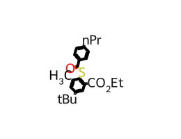 CCCc1ccc(C(=O)Sc2c(C)cc(C(C)(C)C)cc2C(=O)OCC)cc1